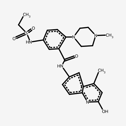 CCS(=O)(=O)Nc1ccc(N2CCN(C)CC2)c(C(=O)Nc2ccc3nc(O)cc(C)c3c2)c1